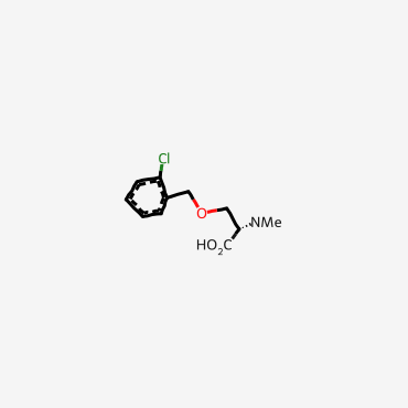 CN[C@@H](COCc1ccccc1Cl)C(=O)O